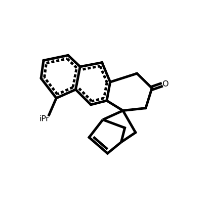 CC(C)c1cccc2cc3c(cc12)C1(CC(=O)C3)CC2C=CC1C2